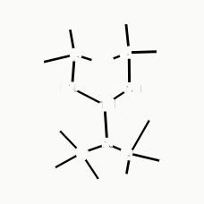 C[Si](C)(C)N[PH2](N[Si](C)(C)C)N([Si](C)(C)C)[Si](C)(C)C